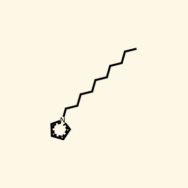 CCCCCCCCCCn1cccc1